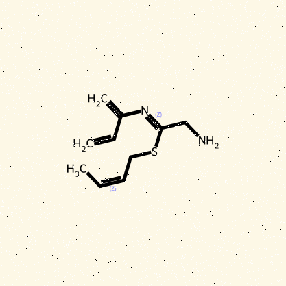 C=CC(=C)/N=C(/CN)SC/C=C\C